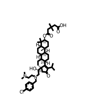 CC(C)C1=C2[C@H]3CC[C@H]4[C@@H](CC[C@H]5C(C)(C)[C@@H](OC(=O)CC(C)(C)CC(=O)O)CC[C@]45C)[C@]3(C)CC[C@@]2([C@@H](O)CN(CCN(C)C)Cc2ccc(Cl)cc2)CC1=O